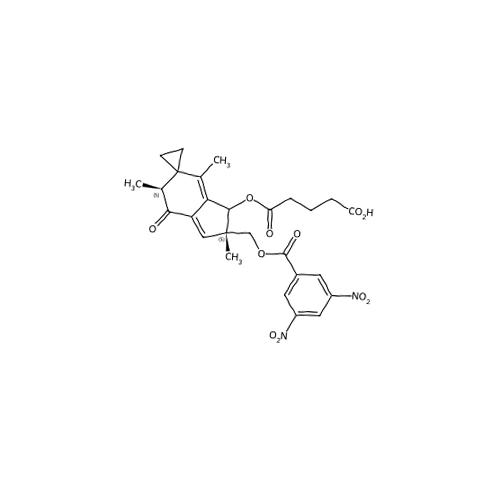 CC1=C2C(=C[C@@](C)(COC(=O)c3cc([N+](=O)[O-])cc([N+](=O)[O-])c3)C2OC(=O)CCCC(=O)O)C(=O)[C@@H](C)C12CC2